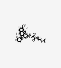 CN(C)CCCNC(=O)C(=O)NC[C@H]1CC[C@@H]2[C@H](O1)c1cc(C(F)(F)F)ccc1N[C@H]2C1C=CC=CC1